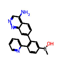 CB(O)c1ccc(-c2ccccn2)c(-c2ccc3c(N)cnnc3c2)c1